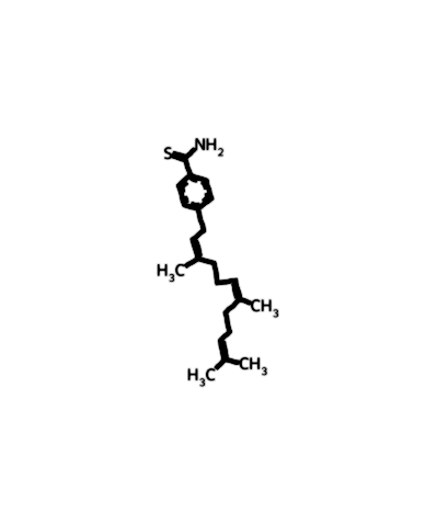 CC(C)=CCCC(C)=CCCC(C)=CCc1ccc(C(N)=S)cc1